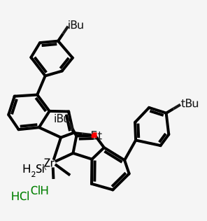 CCC1=Cc2c(-c3ccc(C(C)CC)cc3)cccc2[CH]1[Zr]([CH3])([CH3])(=[SiH2])[CH]1C(C(C)CC)=Cc2c(-c3ccc(C(C)(C)C)cc3)cccc21.Cl.Cl